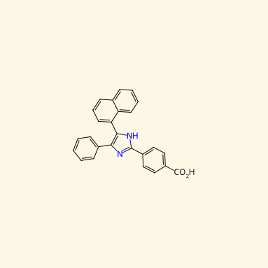 O=C(O)c1ccc(-c2nc(-c3ccccc3)c(-c3cccc4ccccc34)[nH]2)cc1